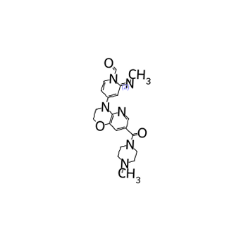 C/N=c1/cc(N2CCOc3cc(C(=O)N4CCN(C)CC4)cnc32)ccn1C=O